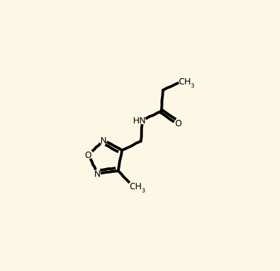 CCC(=O)NCc1nonc1C